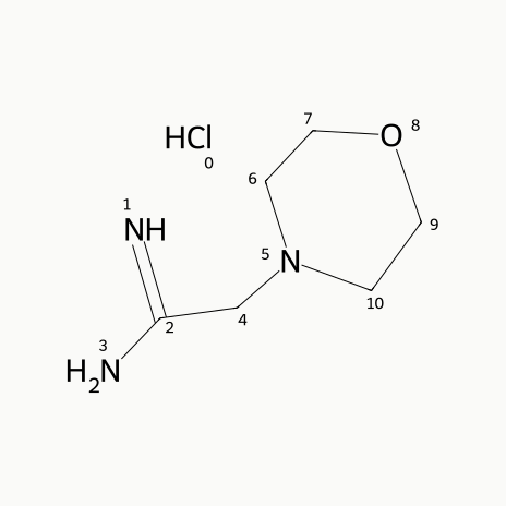 Cl.N=C(N)CN1CCOCC1